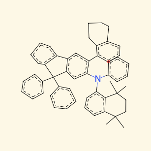 CC1(C)CCC(C)(C)c2c(N(c3ccccc3)c3cc4c(cc3-c3cccc5c3CCCC5)-c3ccccc3C4(c3ccccc3)c3ccccc3)cccc21